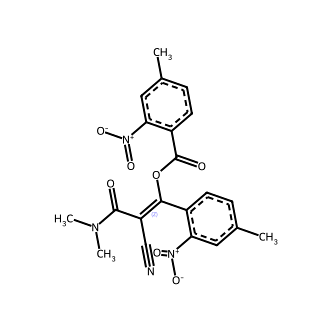 Cc1ccc(C(=O)O/C(=C(/C#N)C(=O)N(C)C)c2ccc(C)cc2[N+](=O)[O-])c([N+](=O)[O-])c1